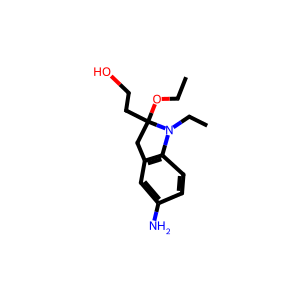 CCOC1(CCO)Cc2cc(N)ccc2N1CC